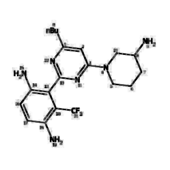 CCCCc1cc(N2CCCC(N)C2)nc(-c2c(N)ccc(N)c2C(F)(F)F)n1